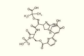 CC(C)(O/N=C(\C(=O)N[C@@H]1C(=O)N(S(=O)(=O)O)[C@@H]1COC(=O)c1ccnc(-c2cc(=O)c(O)c[nH]2)n1)C1CSC(N)=N1)C(=O)O